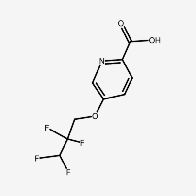 O=C(O)c1ccc(OCC(F)(F)C(F)F)cn1